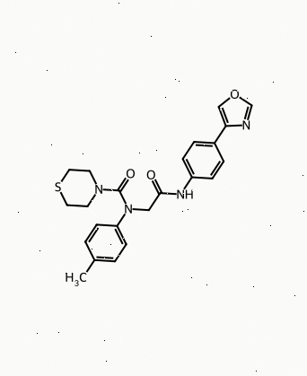 Cc1ccc(N(CC(=O)Nc2ccc(-c3cocn3)cc2)C(=O)N2CCSCC2)cc1